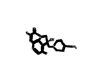 NC1CCN(C[C@]2(O)Cn3c(=O)c(F)cc4ncc(F)c2c43)CC1